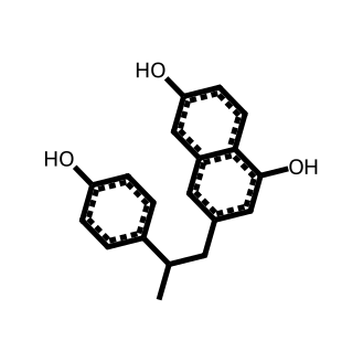 CC(Cc1cc(O)c2ccc(O)cc2c1)c1ccc(O)cc1